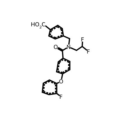 O=C(O)c1ccc(CN(CC(F)F)C(=O)c2ccc(Oc3ccccc3F)cc2)cc1